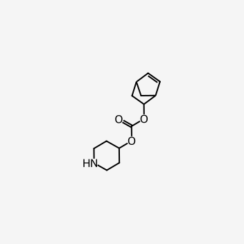 O=C(OC1CCNCC1)OC1CC2C=CC1C2